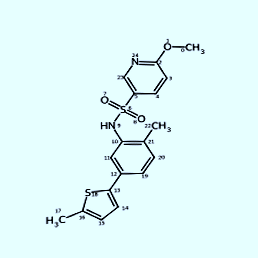 COc1ccc(S(=O)(=O)Nc2cc(-c3ccc(C)s3)ccc2C)cn1